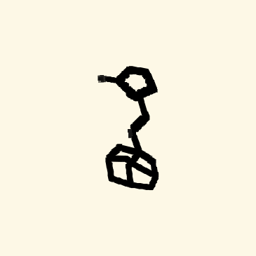 Brc1cccc(C=NC23CC4CC(CC(C4)C2)C3)c1